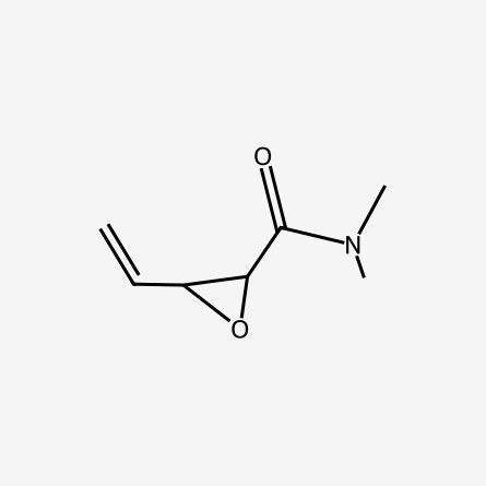 C=CC1OC1C(=O)N(C)C